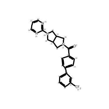 O=C(c1ccc(-c2cccc(C(F)(F)F)c2)cc1)N1CC2CN(c3ncccn3)CC2C1